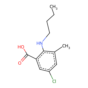 CCCCNc1c(C)cc(Cl)cc1C(=O)O